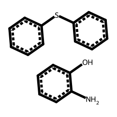 Nc1ccccc1O.c1ccc(Sc2ccccc2)cc1